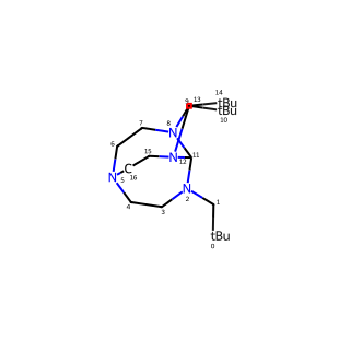 CC(C)(C)CN1CCN2CCN(CC(C)(C)C)C1N(CC(C)(C)C)CC2